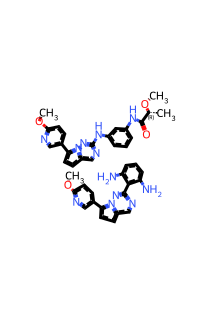 COc1ccc(-c2ccc3cnc(-c4c(N)cccc4N)nn23)cn1.COc1ccc(-c2ccc3cnc(Nc4cccc(NC(=O)[C@@H](C)OC)c4)nn23)cn1